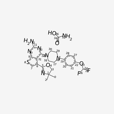 CC1(C)COC(c2csc3nc(N)nc(N4CCN(c5ccc(OC(F)F)cc5)CC4)c23)=N1.NC(=O)O